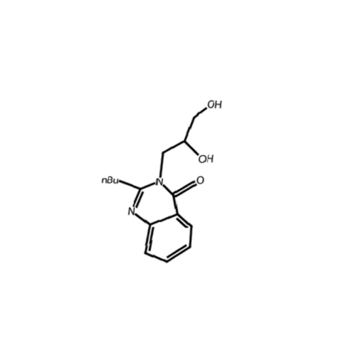 CCCCc1nc2ccccc2c(=O)n1CC(O)CO